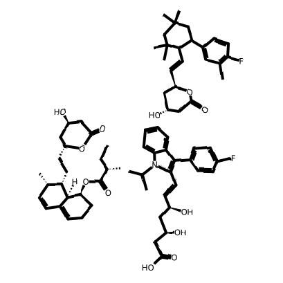 CC(C)n1c(/C=C/[C@@H](O)C[C@@H](O)CC(=O)O)c(-c2ccc(F)cc2)c2ccccc21.CC[C@H](C)C(=O)O[C@H]1CCC=C2C=C[C@H](C)[C@H](CC[C@@H]3C[C@@H](O)CC(=O)O3)[C@H]21.Cc1cc(C2CC(C)(C)CC(C)(C)C2/C=C/[C@@H]2C[C@@H](O)CC(=O)O2)ccc1F